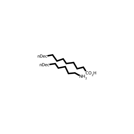 CCCCCCCCCCCCCCCCCC(=O)O.CCCCCCCCCCCCCCCN